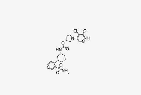 NS(=O)(=O)c1cnccc1C1CCC[C@@H](NC(=O)O[C@@H]2CCN(c3cn[nH]c(=O)c3Cl)C2)C1